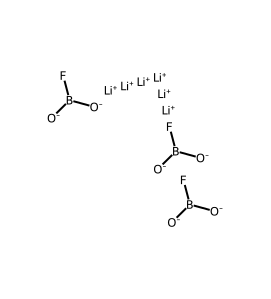 [Li+].[Li+].[Li+].[Li+].[Li+].[Li+].[O-]B([O-])F.[O-]B([O-])F.[O-]B([O-])F